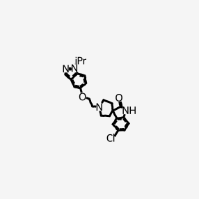 CC(C)n1ncc2cc(OCCN3CCC4(CC3)C(=O)Nc3ccc(Cl)cc34)ccc21